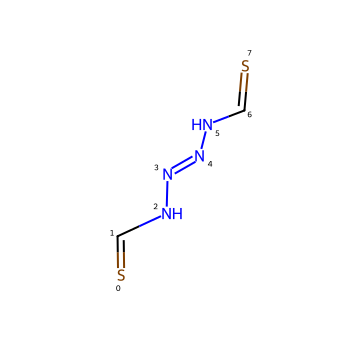 S=CN/N=N/NC=S